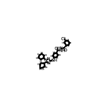 O=C(NNC(=O)c1cccc(Cl)c1)c1ccc(Nc2nc(-c3ccccc3)n(-c3ccccc3)n2)cc1